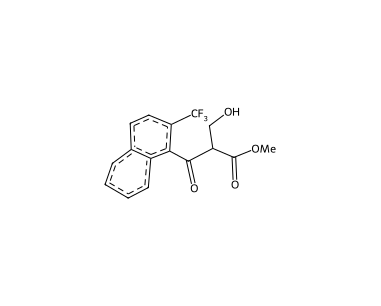 COC(=O)C(CO)C(=O)c1c(C(F)(F)F)ccc2ccccc12